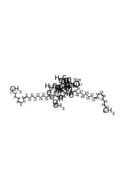 CCCCC/C=C\C/C=C\CCCCCCCC(=O)O[C@@H]1C[C@H](OC)[C@@]23[C@@H]4C[C@@]5(O)[C@H](OC(=O)c6ccccc6)[C@@H]4[C@](OC(=O)CCCCCCC/C=C\C/C=C\CCCCC)([C@@H](O)[C@@H]5OC)[C@H]4C[C@@H]2[C@]1(COC)CN(C)[C@H]43